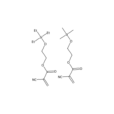 C=C(C#N)C(=O)OCCO[Si](C)(C)C.C=C(C#N)C(=O)OCCO[Si](CC)(CC)CC